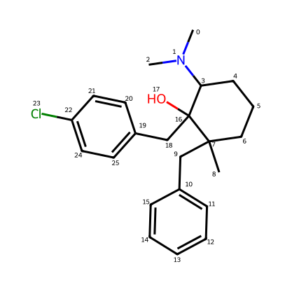 CN(C)C1CCCC(C)(Cc2ccccc2)C1(O)Cc1ccc(Cl)cc1